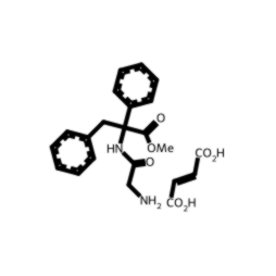 COC(=O)C(Cc1ccccc1)(NC(=O)CN)c1ccccc1.O=C(O)C=CC(=O)O